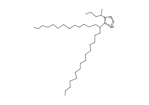 CCCCCCCCCCCCCCCC(CCCCCCCCCCCCC)c1[nH]cc[n+]1C(C)CCC